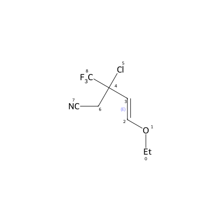 CCO/C=C/C(Cl)(CC#N)C(F)(F)F